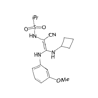 COc1cccc(NC(NC2CCC2)=C(C#N)NS(=O)(=O)C(C)C)c1